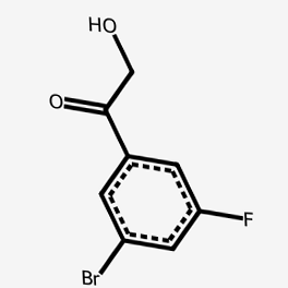 O=C(CO)c1cc(F)cc(Br)c1